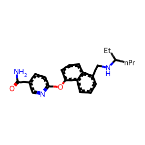 CCCC(CC)NCc1cccc2c(Oc3ccc(C(N)=O)cn3)cccc12